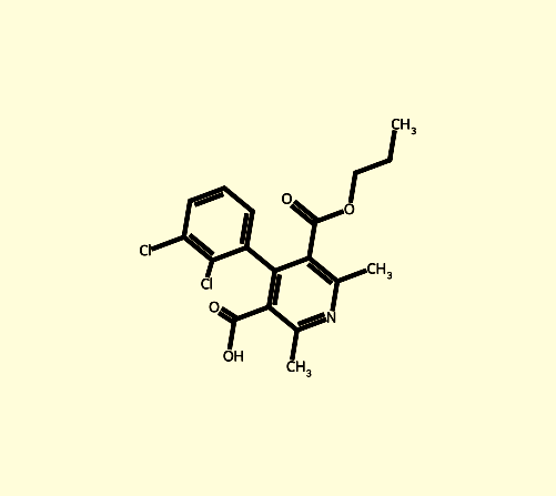 CCCOC(=O)c1c(C)nc(C)c(C(=O)O)c1-c1cccc(Cl)c1Cl